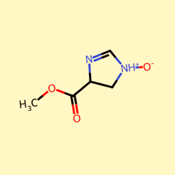 COC(=O)C1C[NH+]([O-])C=N1